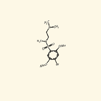 COc1cc(S(=O)(=O)N(C)CCN(C)C)c(OC)cc1Br